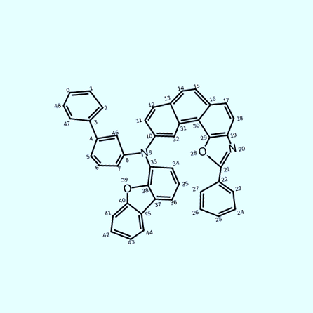 c1ccc(-c2cccc(N(c3ccc4ccc5ccc6nc(-c7ccccc7)oc6c5c4c3)c3cccc4c3oc3ccccc34)c2)cc1